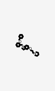 c1ccc(COc2ccccc2CN2CCc3cc(OCCCN4CCCCC4)ccc32)cc1